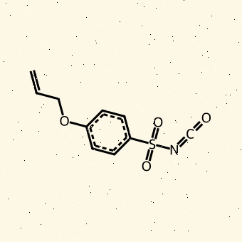 C=CCOc1ccc(S(=O)(=O)N=C=O)cc1